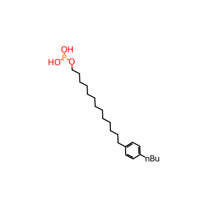 CCCCc1ccc(CCCCCCCCCCCCCOP(O)O)cc1